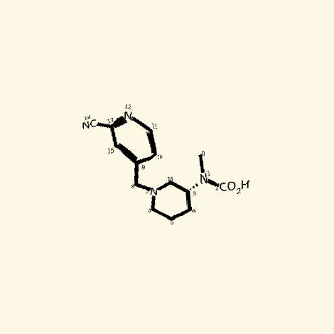 CN(C(=O)O)[C@@H]1CCCN(Cc2ccnc(C#N)c2)C1